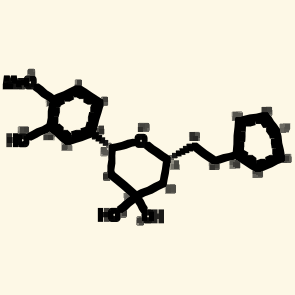 COc1ccc([C@H]2CC(O)(O)C[C@@H](CCc3ccccc3)O2)cc1O